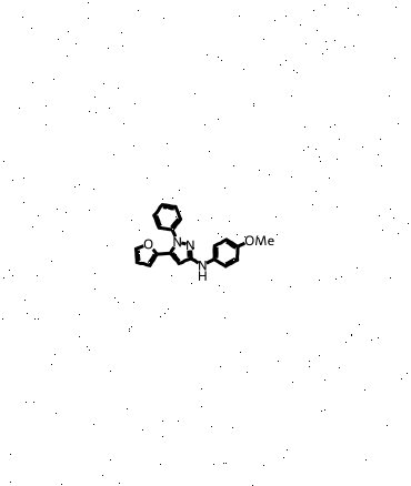 COc1ccc(Nc2cc(-c3ccco3)n(-c3ccccc3)n2)cc1